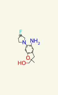 CC1(CO)Cc2cc(N)c(N3CC[C@@H](F)C3)cc2O1